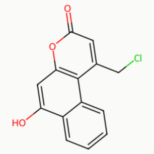 O=c1cc(CCl)c2c(cc(O)c3ccccc32)o1